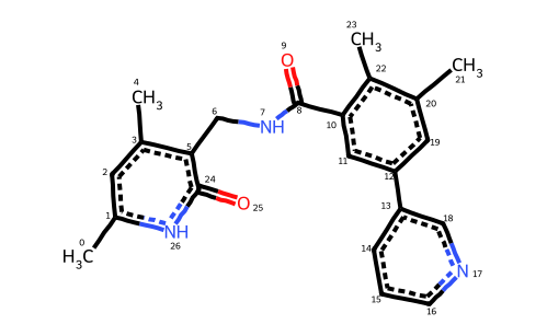 Cc1cc(C)c(CNC(=O)c2cc(-c3cccnc3)cc(C)c2C)c(=O)[nH]1